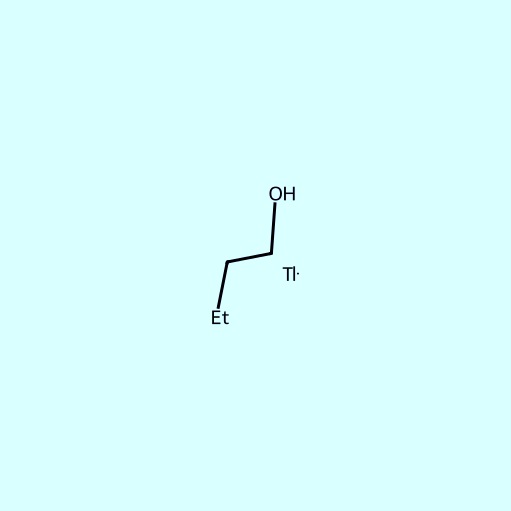 CCCCO.[Tl]